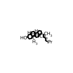 CC(C)CCCC(C)[C@H]1CC[C@H]2[C@@H]3CC[C@H]4C[C@H](O)CC[C@]4(C)[C@H]3CC[C@]12C